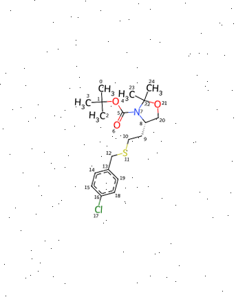 CC(C)(C)OC(=O)N1[C@@H](CCSCc2ccc(Cl)cc2)COC1(C)C